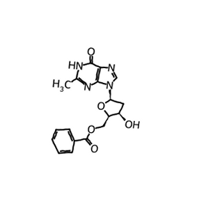 Cc1nc2c(ncn2[C@H]2C[C@@H](O)[C@@H](COC(=O)c3ccccc3)O2)c(=O)[nH]1